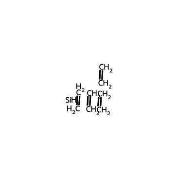 C=C.C=C.C=C.C=C.[SiH4]